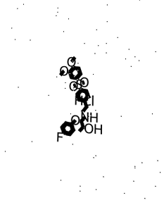 COc1ccc(S(=O)(=O)c2ccc(CCNC(Oc3ccc(F)cc3)C(C)O)cc2)cc1OC.Cl